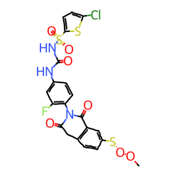 COOSc1ccc2c(c1)C(=O)N(c1ccc(NC(=O)NS(=O)(=O)c3ccc(Cl)s3)cc1F)C(=O)C2